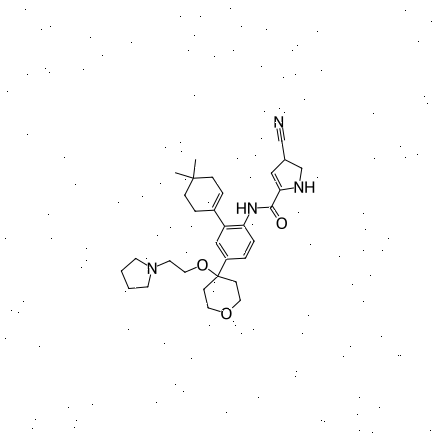 CC1(C)CC=C(c2cc(C3(OCCN4CCCC4)CCOCC3)ccc2NC(=O)C2=CC(C#N)CN2)CC1